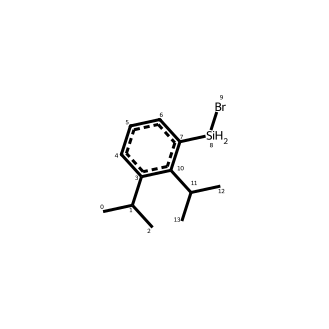 CC(C)c1cccc([SiH2]Br)c1C(C)C